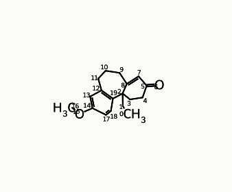 CCC12CCC(=O)C=C1CCCc1cc(OC)ccc12